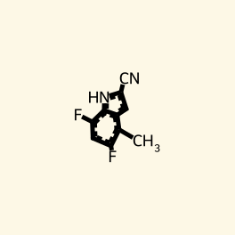 Cc1c(F)cc(F)c2[nH]c(C#N)cc12